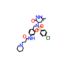 CC(C)CC(C(N)=O)N(Cc1ccc(NC(=O)CCN2CCCCC2)cc1)S(=O)(=O)c1ccc(Cl)cc1